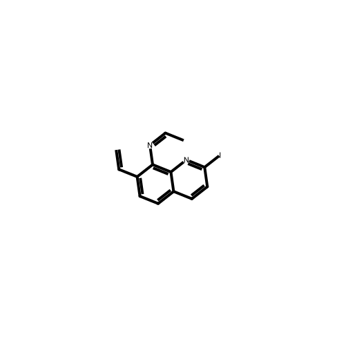 C=Cc1ccc2ccc(I)nc2c1/N=C\C